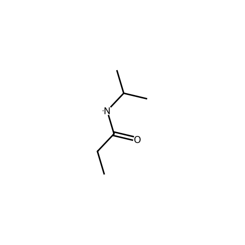 CCC(=O)[N]C(C)C